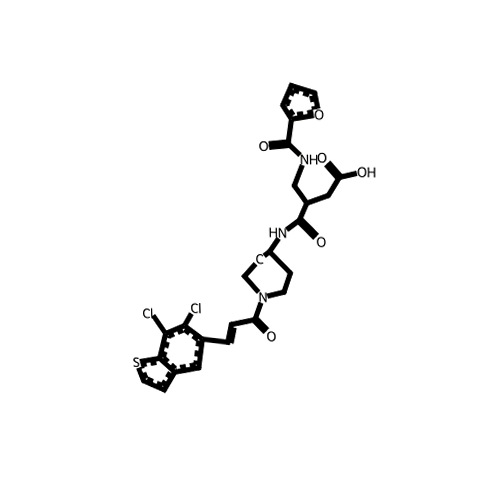 O=C(O)CC(CNC(=O)c1ccco1)C(=O)NC1CCN(C(=O)/C=C/c2cc3ccsc3c(Cl)c2Cl)CC1